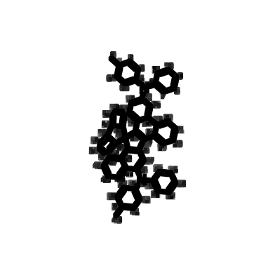 Cc1ccc(N(c2ccccc2)c2ccc3c4c(c5ccccc5c3c2)-c2cc(N(c3ccccc3)c3ccc(C)cc3)c3ccccc3c2C42c3ccccc3-c3ccccc32)cc1